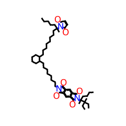 CCCCCC(C)(CCCCCCCCC1CCCCC1CCCCCCCCn1c(=O)c2cc3c(=O)n(C(C)(CCCC)C(C)(CC)CC)c(=O)c3cc2c1=O)N1C(=O)C=CC1=O